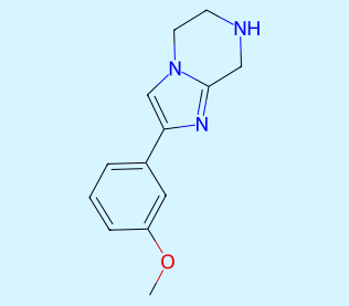 COc1cccc(-c2cn3c(n2)CNCC3)c1